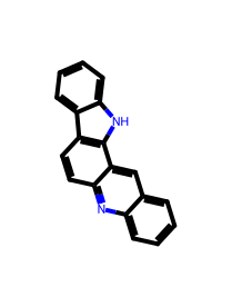 c1ccc2nc3ccc4c5ccccc5[nH]c4c3cc2c1